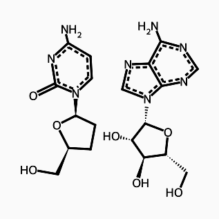 Nc1ccn([C@H]2CC[C@@H](CO)O2)c(=O)n1.Nc1ncnc2c1ncn2[C@@H]1O[C@H](CO)[C@@H](O)[C@@H]1O